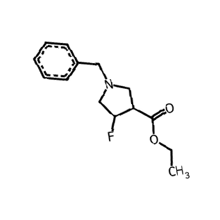 CCOC(=O)C1CN(Cc2ccccc2)CC1F